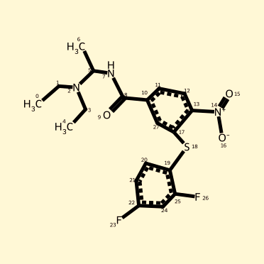 CCN(CC)C(C)NC(=O)c1ccc([N+](=O)[O-])c(Sc2ccc(F)cc2F)c1